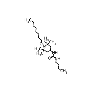 CCCCCCCCON1C(C)(C)CC(NC(=O)NCCCC)CC1(C)C